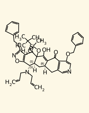 C=CCN(CC=C)[C@@H]1c2onc(OCc3ccccc3)c2C(=O)C2(O[Si](C)(C)C(C)(C)C)C(O)=C3C(=O)c4c(cncc4OCc4ccccc4)C[C@H]3C[C@@H]12